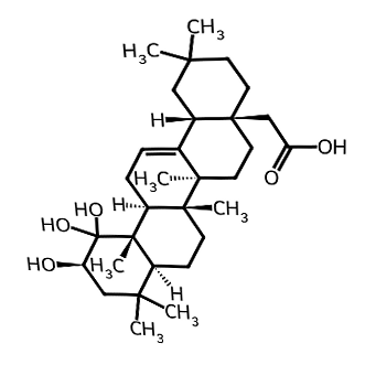 CC1(C)CC[C@]2(CC(=O)O)CC[C@]3(C)C(=CC[C@@H]4[C@]5(C)[C@@H](CC[C@]43C)C(C)(C)C[C@@H](O)C5(O)O)[C@@H]2C1